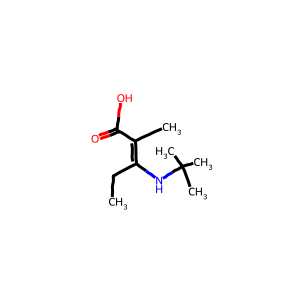 CCC(NC(C)(C)C)=C(C)C(=O)O